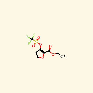 CCOC(=O)C1=C(OS(=O)(=O)C(F)(F)F)CCO1